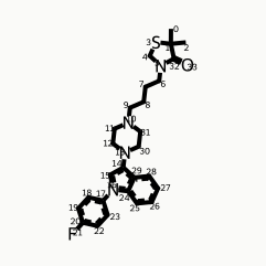 CC1(C)SCN(CCCCN2CCN(c3cn(-c4ccc(F)cc4)c4ccccc34)CC2)C1=O